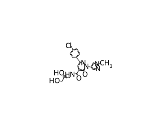 Cn1cc(-n2nc(-c3ccc(Cl)cc3)cc(C(=O)NC[C@@H](O)CO)c2=O)cn1